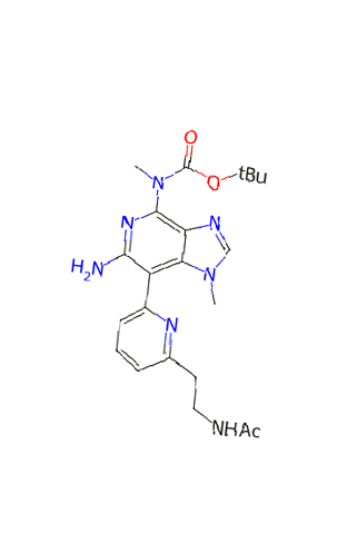 CC(=O)NCCc1cccc(-c2c(N)nc(N(C)C(=O)OC(C)(C)C)c3ncn(C)c23)n1